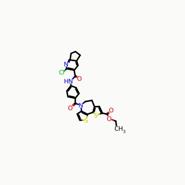 CCOC(=O)c1cc2c(s1)-c1sccc1N(C(=O)c1ccc(NC(=O)c3cc4c(nc3Cl)CCC4)cc1)CC2